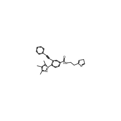 Cc1nn(-c2ccc(C(=O)NCCC3=CCC=N3)cc2C#Cc2ccccc2)c(C)c1C